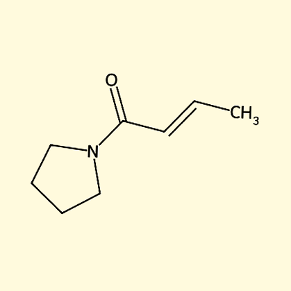 CC=CC(=O)N1CCCC1